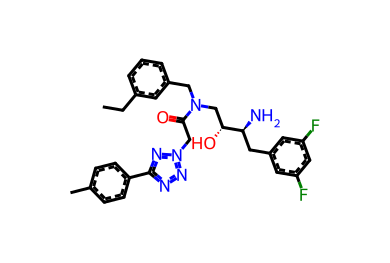 CCc1cccc(CN(C[C@@H](O)[C@@H](N)Cc2cc(F)cc(F)c2)C(=O)Cn2nnc(-c3ccc(C)cc3)n2)c1